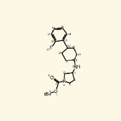 CC(C)(C)OC(=O)N1CCC(NC2CCC(c3ccccc3F)CC2)C1